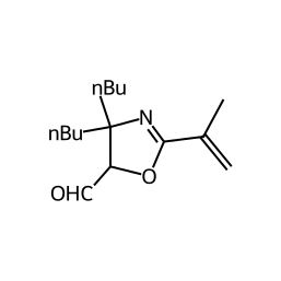 C=C(C)C1=NC(CCCC)(CCCC)C(C=O)O1